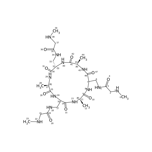 CNCC(=O)NCC1NC(=O)[C@@H](C)NC(=O)C(CNC(=O)CNC)NC(=O)[C@@H](C)NC(=O)[C@H](CNC(=O)CNC)NC(=O)[C@@H](C)NC1=O